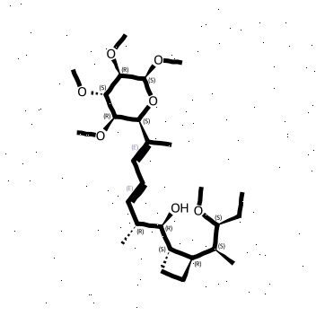 CC[C@H](OC)[C@@H](C)[C@H]1CC[C@@H]1[C@H](O)[C@H](C)/C=C/C=C(\C)[C@@H]1O[C@H](OC)[C@H](OC)[C@@H](OC)[C@@H]1OC